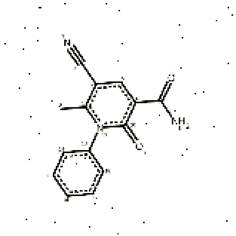 Cc1c(C#N)cc(C(N)=O)c(=O)n1-c1ccccc1